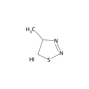 CC1CSN=N1.I